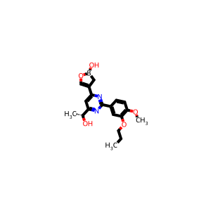 CCCOc1cc(-c2nc(C3=COB(O)C3)cc([C@@H](C)O)n2)ccc1OC